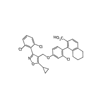 O=C(O)c1ccc2c(c1-c1ccc(OCc3c(-c4c(Cl)cccc4Cl)noc3C3CC3)cc1Cl)CCCC2